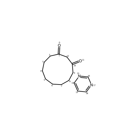 O=C1CCCCCCCCC(=O)C1.c1cncnc1